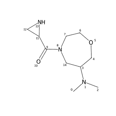 CN(C)C1COCCN(C(=O)C2CN2)C1